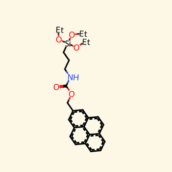 CCO[Si](CCCNC(=O)OCc1cc2ccc3cccc4ccc(c1)c2c34)(OCC)OCC